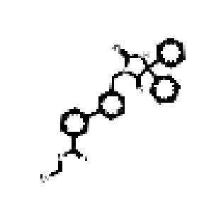 CCOC(=O)c1cccc(-c2cccc(CN3C(=N)NC(c4ccccc4)(c4ccccc4)C3=O)c2)c1